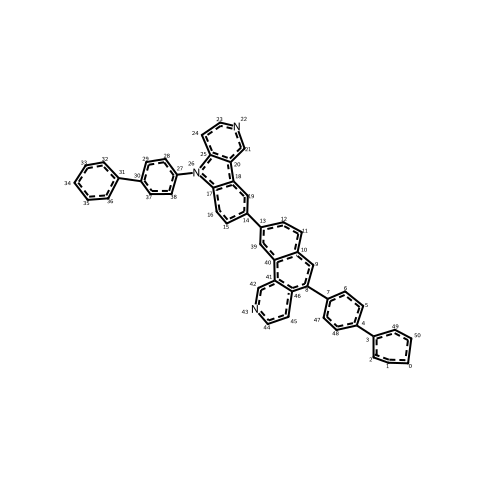 c1ccc(-c2ccc(-c3cc4ccc(-c5ccc6c(c5)c5cnccc5n6-c5ccc(-c6ccccc6)cc5)cc4c4cnccc34)cc2)cc1